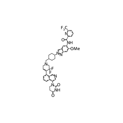 COc1cc2nn(C3CCC(CN4CC=C(c5cccc6c(N7CCC(=O)NC7=O)cncc56)C(F)(F)C4)CC3)cc2cc1NC(=O)c1cccc(C(F)(F)F)n1